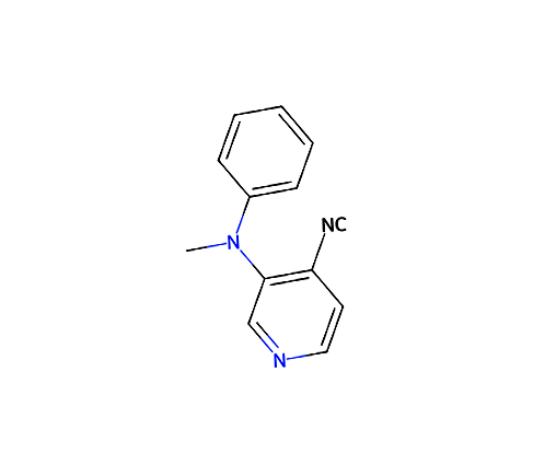 [C-]#[N+]c1ccncc1N(C)c1ccccc1